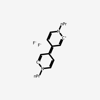 CCCN1[C+]=CC(=C2C=[C+]N(CCC)C=C2)C=C1.[F-].[F-]